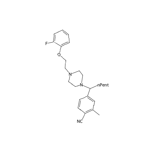 CCCCCC(c1ccc(C#N)c(C)c1)N1CCN(CCOc2ccccc2F)CC1